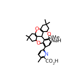 COc1ccc(-c2ccc(C)c(C(=O)O)n2)c(C)c1C1C2=C(CC(C)(C)CC2=O)OC2=C1C(=O)CC(C)(C)C2.[NaH]